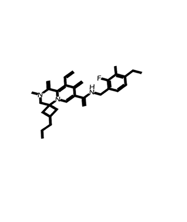 C=CC1=C2C(=C)N(C)CC3(CC(CCC)C3)N2C=C(C(=C)NCc2ccc(CC)c(C)c2F)C1=C